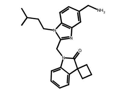 CC(C)CCn1c(CN2C(=O)C3(CCC3)c3ccccc32)nc2cc(CN)ccc21